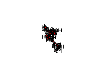 O=C(O)CCC(NC(=O)NC(CCCCNC(=O)CCCCCCC(=O)NCCCCC(NC(=O)C(Cc1ccccc1)NC(=O)C(Cc1ccccc1)NC(=O)CCC(NC(=O)CN1CCN(CC(=O)O)CCN(CC(=O)O)CCN(CC(=O)O)CC1)C(=O)NC(CCCCNC(=O)CCCc1ccc(I)cc1)C(=O)O)C(=O)O)C(=O)O)C(=O)O